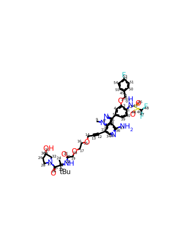 C[C@H](Oc1cc(-c2nn(C)c3c(C#CCOCCOCC(=O)N[C@@](C)(C(=O)N4CC[C@@H](O)C4)C(C)(C)C)cnc(N)c23)ccc1NS(=O)(=O)C(F)F)c1ccc(F)cc1